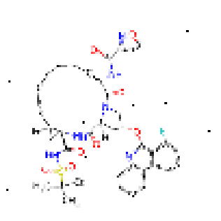 CCC(C)(C)S(=O)(=O)NC(=O)[C@@]12C[C@H]1/C=C\CCCCC[C@H](NC(=O)c1ccon1)C(=O)N1C[C@H](Oc3nc4ccccc4c4cccc(F)c34)C[C@H]1C(=O)N2